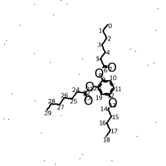 CCCCCCC(=O)Oc1ccc(OCCCCC)cc1OC(=O)CCCCCC